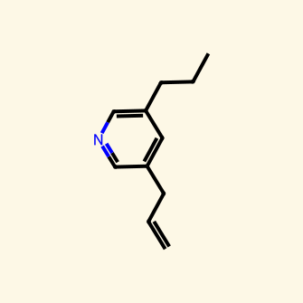 C=CCc1cncc(CCC)c1